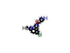 CBc1cnc2c(c1)C=Cc1cc(Cl)cc(C)c1C2C1CCN(C(=O)CC2CCNCC2)CC1